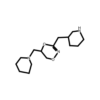 C1CCN(CC2CON=C(CC3CCCNC3)O2)CC1